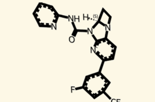 O=C(Nc1ccccn1)N1c2nc(-c3cc(F)cc(C(F)(F)F)c3)ccc2N2CC[C@@H]21